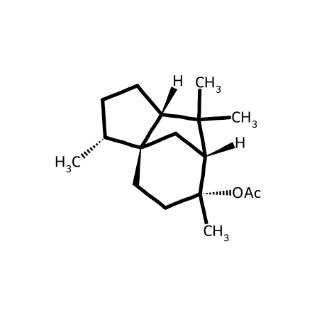 CC(=O)O[C@]1(C)CC[C@]23C[C@@H]1C(C)(C)[C@H]2CC[C@H]3C